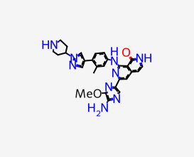 COc1nc(-c2cc3cc[nH]c(=O)c3c(Nc3ccc(-c4cnn(C5CCNCC5)c4)c(C)c3)n2)cnc1N